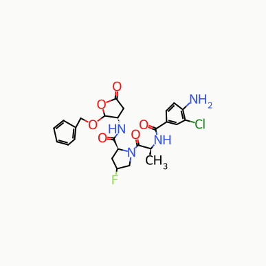 C[C@H](NC(=O)c1ccc(N)c(Cl)c1)C(=O)N1CC(F)C[C@H]1C(=O)N[C@H]1CC(=O)OC1OCc1ccccc1